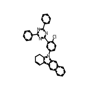 Clc1ccc(-n2c3c(c4cc5ccccc5cc42)C=CCC3)cc1-c1nc(-c2ccccc2)nc(-c2ccccc2)n1